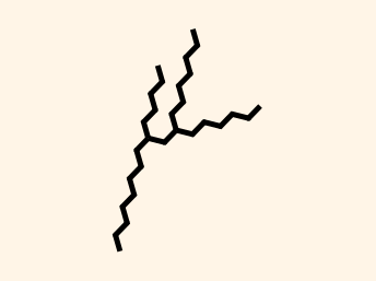 CCCCCCCCC(CCCCC)CC(CCCCCC)CCCCCCC